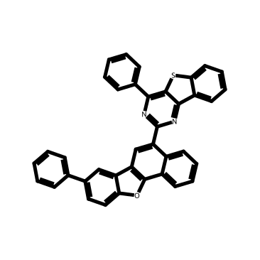 c1ccc(-c2ccc3oc4c5ccccc5c(-c5nc(-c6ccccc6)c6sc7ccccc7c6n5)cc4c3c2)cc1